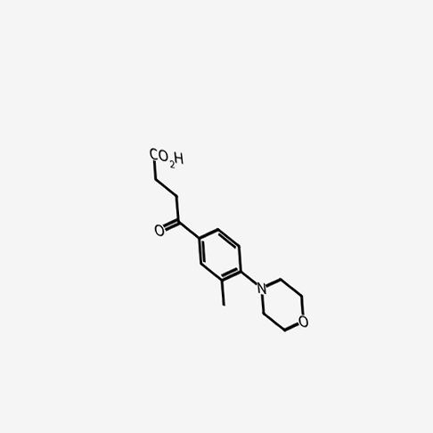 Cc1cc(C(=O)CCC(=O)O)ccc1N1CCOCC1